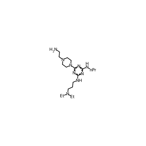 CCCNc1nc(NCCCN(CC)CC)nc(N2CCN(CCN)CC2)n1